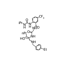 CCC[C@H](O)[C@H](CNCc1ccc(CC)cc1)NC(=O)CNC(=O)c1cc(C(F)(F)F)ccc1NC(=O)NC(C)C